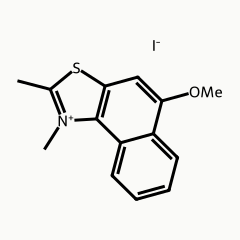 COc1cc2sc(C)[n+](C)c2c2ccccc12.[I-]